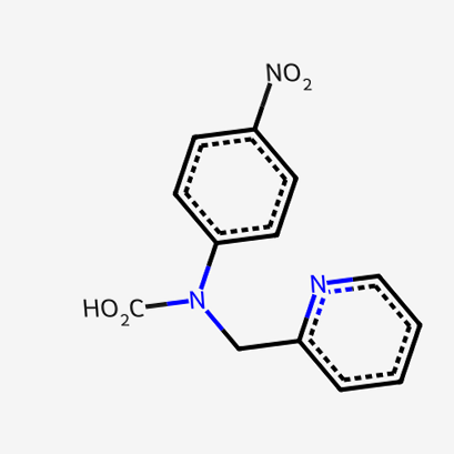 O=C(O)N(Cc1ccccn1)c1ccc([N+](=O)[O-])cc1